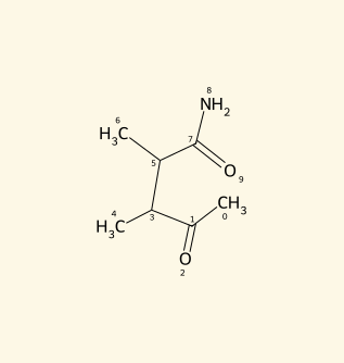 CC(=O)C(C)C(C)C(N)=O